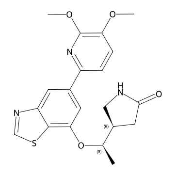 COc1ccc(-c2cc(O[C@H](C)[C@H]3CNC(=O)C3)c3scnc3c2)nc1OC